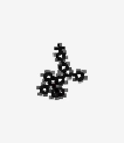 CC(C)(C)c1ccc(-c2ccc(C(CCc3ccccc3)c3cc(-c4ccccc4C(Cc4ccccc4)c4ccccc4)c4sc5ccccc5c4c3)cc2)cc1